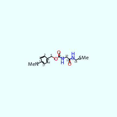 CNc1ccc(COC(=O)NCC(=O)NCSC)cc1